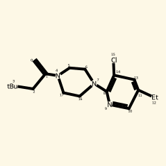 C=C(CC(C)(C)C)N1CCN(c2ncc(CC)cc2Cl)CC1